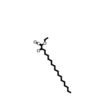 CCCCCCCCCCCCCCCCCC(=O)C(=C=O)OCC